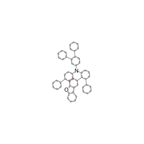 c1ccc(-c2ccc(N(c3ccc(-c4ccccc4)c(-c4ccccc4)c3)c3cccc(-c4ccccc4)c3-c3ccc4oc5ccccc5c4c3)cc2)cc1